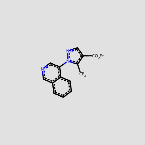 CCOC(=O)c1cnn(-c2cncc3ccccc23)c1C(F)(F)F